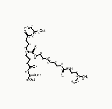 CCCCCCCCC(CCCCCCCC)OC(=O)CCCN(CCCC(=O)OC(CCCCCCCC)CCCCCCCC)C(=O)OCCSSCCOC(=O)NCCN(C)C